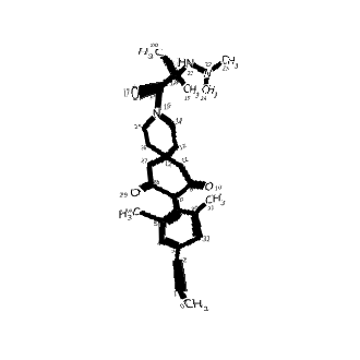 CC#Cc1cc(C)c(C2C(=O)CC3(CCN(C(=O)C(C)(C)NN(C)C)CC3)CC2=O)c(C)c1